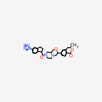 CC1Cc2cc(C3CN4CCN(C(=O)C5CCc6cc(-n7cnnn7)ccc65)CC4CO3)ccc2C(=O)O1